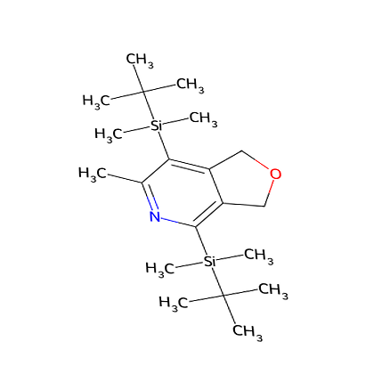 Cc1nc([Si](C)(C)C(C)(C)C)c2c(c1[Si](C)(C)C(C)(C)C)COC2